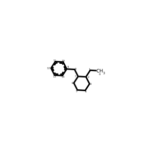 CCC1CCCCC1Cc1ccccc1